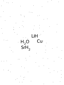 O.[Cu].[LiH].[SrH2]